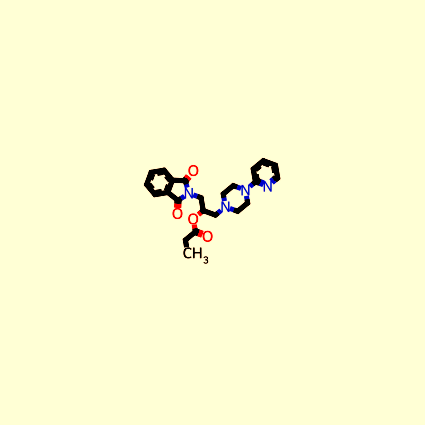 CCC(=O)OC(CN1CCN(c2ccccn2)CC1)CN1C(=O)c2ccccc2C1=O